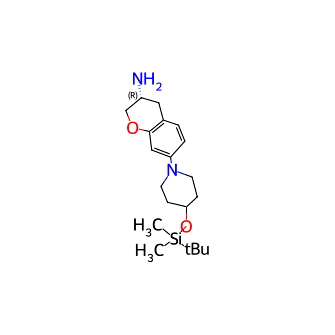 CC(C)(C)[Si](C)(C)OC1CCN(c2ccc3c(c2)OC[C@H](N)C3)CC1